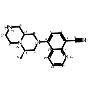 C[C@@H]1CN(c2ccc(C#N)c3ncccc23)CC2CNCCN21